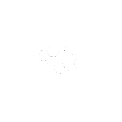 CCCSc1cccc2c1-n1c(CO)nnc1C(C)N=C2c1c(CC)cccc1CC